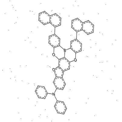 c1ccc(N(c2ccccc2)c2ccc3c(c2)oc2c4c5c(cc23)Oc2ccc(-c3cccc6ccccc36)cc2B5c2cc(-c3cccc5ccccc35)ccc2O4)cc1